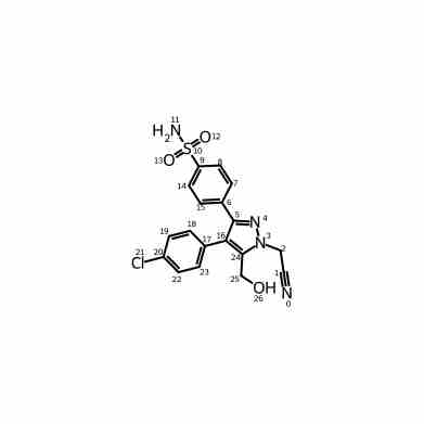 N#CCn1nc(-c2ccc(S(N)(=O)=O)cc2)c(-c2ccc(Cl)cc2)c1CO